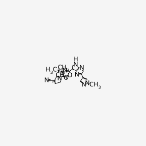 Cn1cc(-c2cnc3[nH]cc(C(=O)N[C@@H](C(=O)N4CC[C@@H](C#N)C4)C(C)(C)C)c3n2)cn1